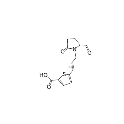 O=CC1CCC(=O)N1C/C=C/c1ccc(C(=O)O)s1